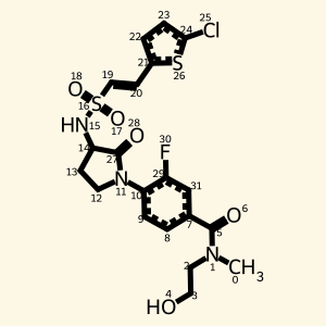 CN(CCO)C(=O)c1ccc(N2CCC(NS(=O)(=O)C=Cc3ccc(Cl)s3)C2=O)c(F)c1